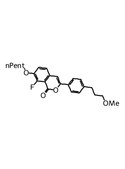 CCCCCOc1ccc2cc(-c3ccc(CCCOC)cc3)oc(=O)c2c1F